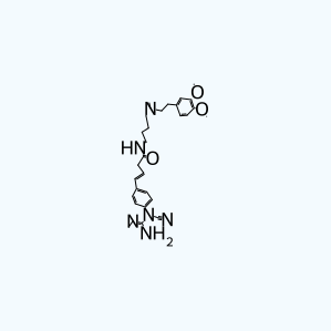 CN=C(N)N(C#N)c1ccc(/C=C/CC(=O)NCCCCN(C)CCc2ccc(OC)c(OC)c2)cc1